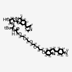 Cc1ncsc1-c1ccc([C@H](C)NC(=O)[C@@H]2C[C@@H](O)CN2C[C@@H](NC(=O)COCCOCCOCCOCCCOc2ccc3nc(-c4ccc(N(C)C)cc4)ccc3c2)C(C)(C)C)cc1